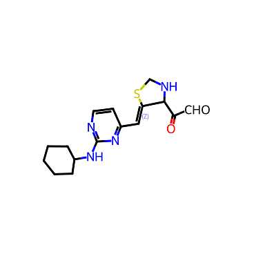 O=CC(=O)C1NCS/C1=C\c1ccnc(NC2CCCCC2)n1